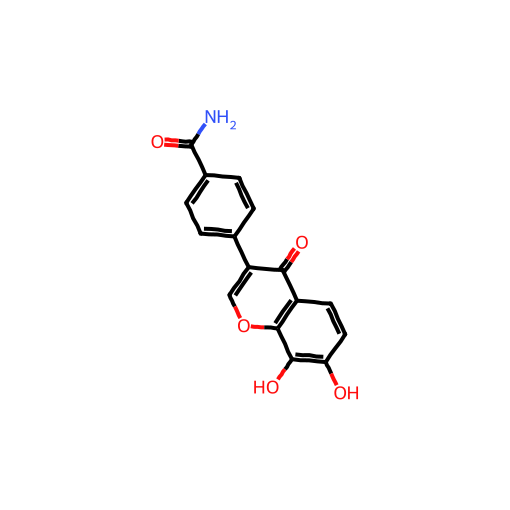 NC(=O)c1ccc(-c2coc3c(O)c(O)ccc3c2=O)cc1